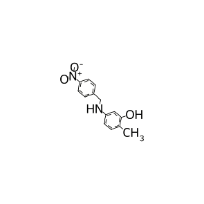 Cc1ccc(NCc2ccc([N+](=O)[O-])cc2)cc1O